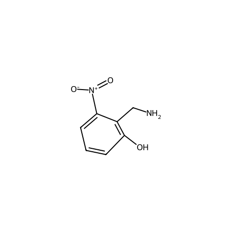 NCc1c(O)cccc1[N+](=O)[O-]